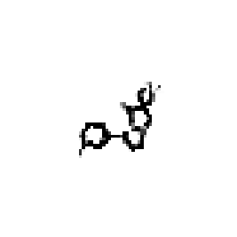 CCC1(CCl)CN2CC[C@@H](c3cccc(F)c3)N2C1=O